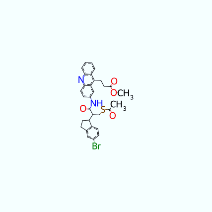 COC(=O)CCc1c2ccccc2nc2ccc(NC(=O)C(CSC(C)=O)C3CCc4cc(Br)ccc43)cc12